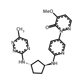 COc1ccnn(-c2ccc(N[C@H]3CC[C@H](Nc4ncc(C)nn4)C3)nc2)c1=O